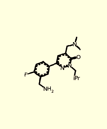 CC(C)Cn1nc(-c2ccc(F)c(CN)c2)cc(CN(C)C)c1=O